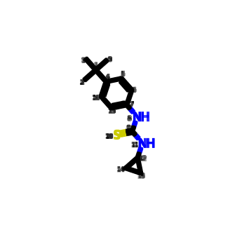 CC(C)(C)c1ccc(NC(=S)NC2CC2)cc1